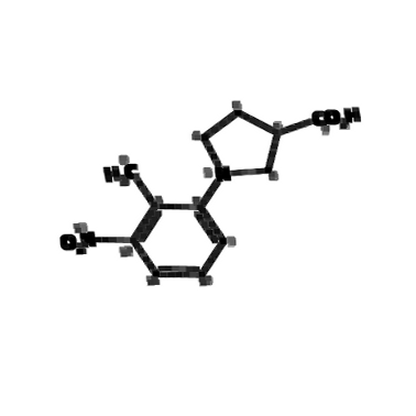 Cc1c(N2CCC(C(=O)O)C2)cccc1[N+](=O)[O-]